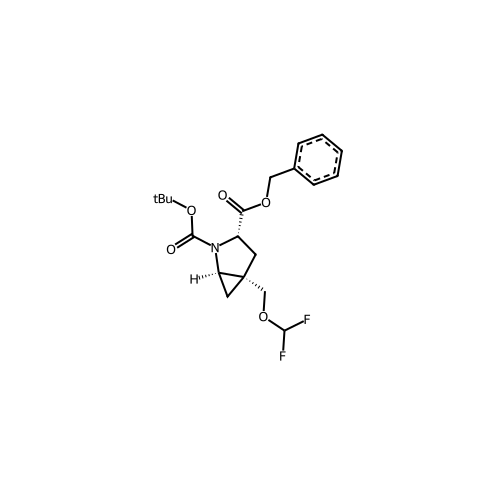 CC(C)(C)OC(=O)N1[C@H](C(=O)OCc2ccccc2)C[C@@]2(COC(F)F)C[C@@H]12